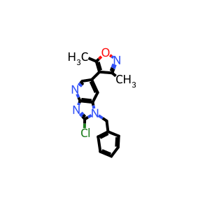 Cc1noc(C)c1-c1cnc2nc(Cl)n(Cc3ccccc3)c2c1